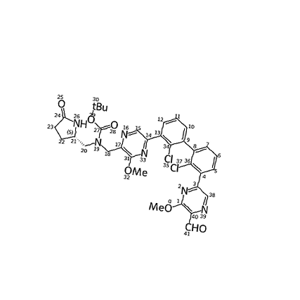 COc1nc(-c2cccc(-c3cccc(-c4cnc(CN(C[C@@H]5CCC(=O)N5)C(=O)OC(C)(C)C)c(OC)n4)c3Cl)c2Cl)cnc1C=O